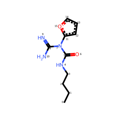 CCCCNC(=O)N(C(=N)N)c1ccco1